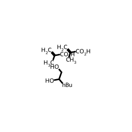 C=C(C)C(=O)O.C=C(C)C(=O)O.CCCCC(O)CO